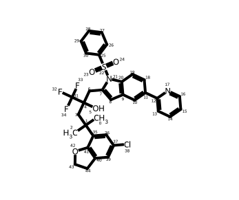 CC(C)(CC(O)(Cc1cc2cc(-c3ccccn3)ccc2n1S(=O)(=O)c1ccccc1)C(F)(F)F)c1cc(Cl)cc2c1OCC2